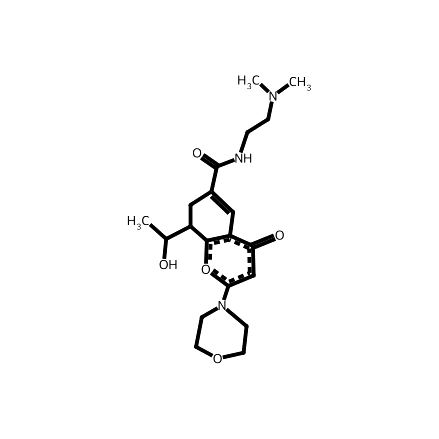 CC(O)C1CC(C(=O)NCCN(C)C)=Cc2c1oc(N1CCOCC1)cc2=O